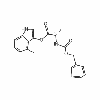 Cc1cccc2[nH]cc(OC(=O)[C@H](C)NC(=O)OCc3ccccc3)c12